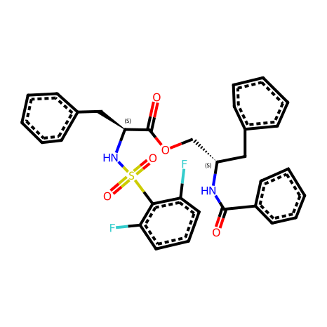 O=C(N[C@H](COC(=O)[C@H](Cc1ccccc1)NS(=O)(=O)c1c(F)cccc1F)Cc1ccccc1)c1ccccc1